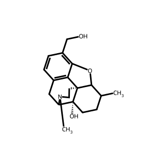 CC1CC[C@@]2(O)C3Cc4ccc(CO)c5c4[C@@]2(CCN3C)C1O5